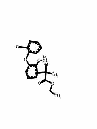 CCOC(=O)C(C)(C#N)c1cccc(Oc2ccccc2Cl)c1OC